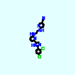 N#Cc1ccc(NCCNc2cccc(-c3cnc(-c4ccc(Cl)cc4Cl)[nH]3)n2)nc1